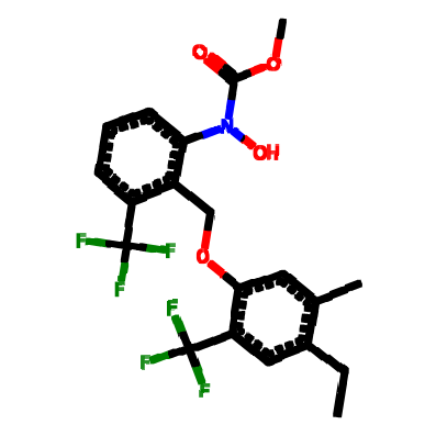 CCc1cc(C(F)(F)F)c(OCc2c(N(O)C(=O)OC)cccc2C(F)(F)F)cc1C